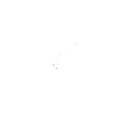 C=c1cccc/c1=C1/C(=C\N(c2ccccc2)c2cccc(-c3ccccc3)c2)c2c(-c3ccccc3)cccc2C1(C)C